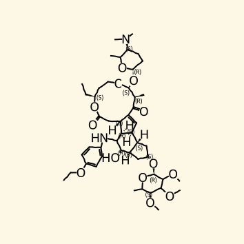 CCOc1ccc(NC2[C@@H]3[C@@H](C=C4C(=O)[C@H](C)[C@@H](O[C@H]5CC[C@H](N(C)C)C(C)O5)CCC[C@H](CC)OC(=O)C[C@H]43)[C@@H]3C[C@H](O[C@@H]4OC(C)[C@H](OC)C(OC)C4OC)C[C@H]3[C@H]2O)cc1